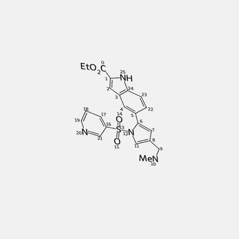 CCOC(=O)c1cc2cc(-c3cc(CNC)cn3S(=O)(=O)c3cccnc3)ccc2[nH]1